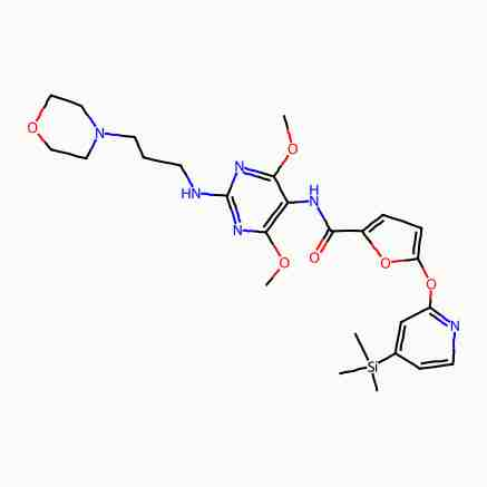 COc1nc(NCCCN2CCOCC2)nc(OC)c1NC(=O)c1ccc(Oc2cc([Si](C)(C)C)ccn2)o1